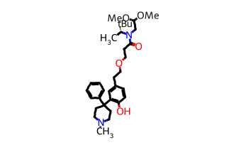 COC(CN(C(=O)CCOCCc1ccc(O)c(C2(c3ccccc3)CCN(C)CC2)c1)[C@H](C)C(C)(C)C)OC